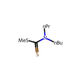 CCCCN(CCC)C(=S)SC